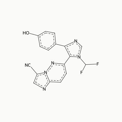 N#Cc1cnc2ccc(-c3c(-c4ccc(O)cc4)ncn3C(F)F)nn12